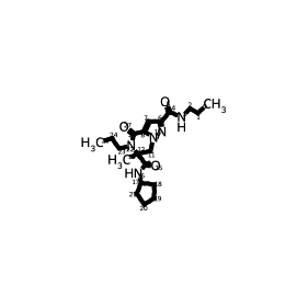 CCCNC(=O)c1cc2n(n1)CC(C)(C(=O)NC1CCCC1)N(CCC)C2=O